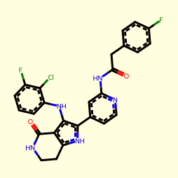 O=C(Cc1ccc(F)cc1)Nc1cc(-c2[nH]c3c(c2Nc2cccc(F)c2Cl)C(=O)NCC3)ccn1